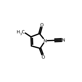 CC1=CC(=O)N(C#N)C1=O